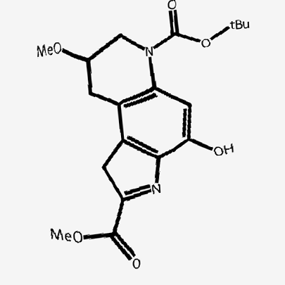 COC(=O)C1=Nc2c(O)cc3c(c2C1)CC(OC)CN3C(=O)OC(C)(C)C